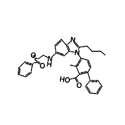 CCCCc1nc2ccc(NCS(=O)(=O)c3ccccc3)cc2n1-c1ccc(-c2ccccc2)c(C(=O)O)c1C